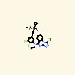 CC(C)(C#Cc1cc(F)cc(N(CC(F)F)c2nc3nnc(Cl)n3c3ccccc23)c1)C1CC1